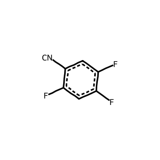 [C-]#[N+]c1cc(F)c(F)cc1F